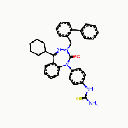 NC(=S)Nc1ccc(N2C(=O)N(Cc3ccccc3-c3ccccc3)N=C(C3CCCCC3)c3ccccc32)cc1